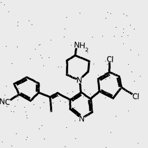 CC(=Cc1cncc(-c2cc(Cl)cc(Cl)c2)c1N1CCC(N)CC1)c1cccc(C#N)c1